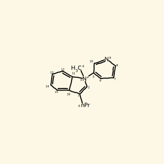 [CH2]CCC1=C[N+](C)(c2cccnc2)c2ccccc21